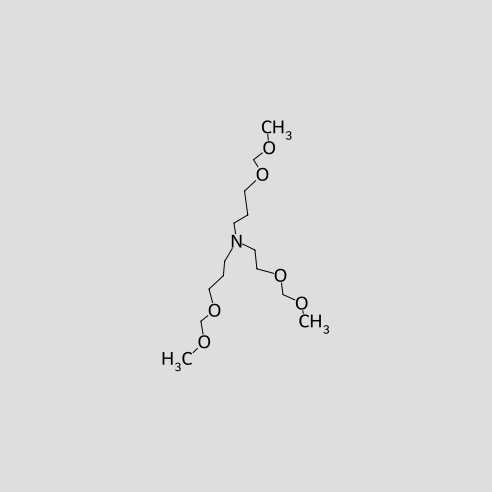 COCOCCCN(CCCOCOC)CCOCOC